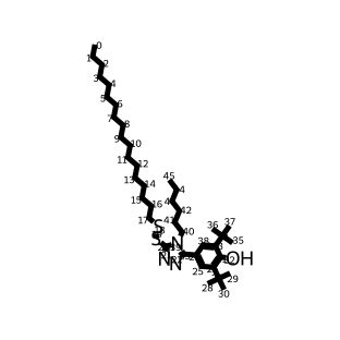 CCCCCCCCCCCCCCCCCCSSc1nnc(-c2cc(C(C)(C)C)c(O)c(C(C)(C)C)c2)n1CCCCCC